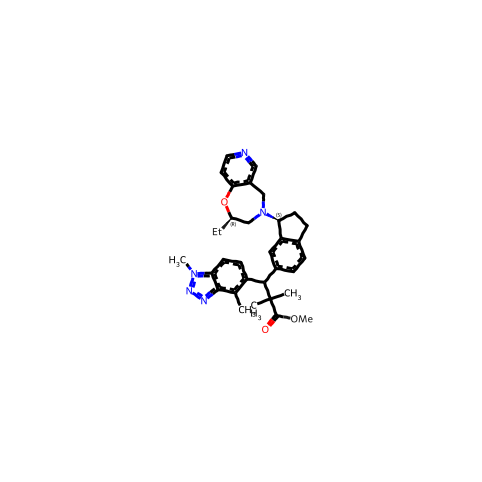 CC[C@@H]1CN([C@H]2CCc3ccc(C(c4ccc5c(nnn5C)c4C)C(C)(C)C(=O)OC)cc32)Cc2cnccc2O1